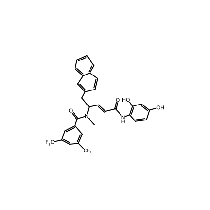 CN(C(=O)c1cc(C(F)(F)F)cc(C(F)(F)F)c1)C(C=CC(=O)Nc1ccc(O)cc1O)Cc1ccc2ccccc2c1